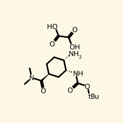 CN(C)C(=O)[C@H]1CC[C@H](N)[C@H](NC(=O)OC(C)(C)C)C1.O=C(O)C(=O)O